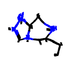 CCC1CN2C=NNC2[C]N1